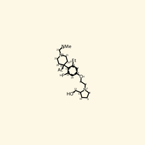 CCc1cc(OCCN2CCCC2CO)cc(F)c1C1(C(C)=O)CCN(CNC)CC1